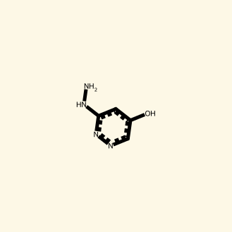 NNc1cc(O)cnn1